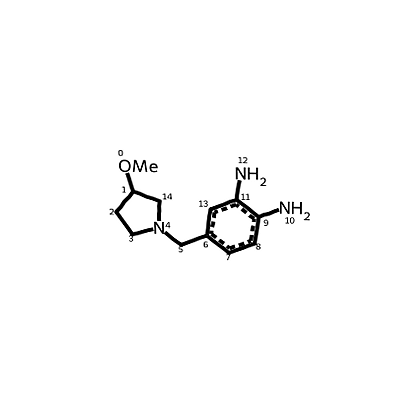 COC1CCN(Cc2ccc(N)c(N)c2)C1